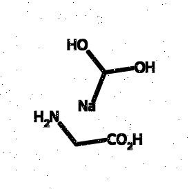 NCC(=O)O.O[CH](O)[Na]